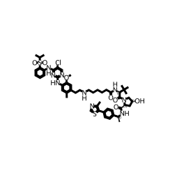 COc1cc(CCNCCCCCC(=O)N[C@H](C(=O)N2C[C@H](O)C[C@H]2C(=O)N[C@@H](C)c2ccc(-c3scnc3C)cc2)C(C)(C)C)c(C)cc1Nc1ncc(Cl)c(Nc2ccccc2S(=O)(=O)C(C)C)n1